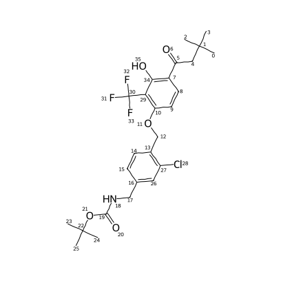 CC(C)(C)CC(=O)c1ccc(OCc2ccc(CNC(=O)OC(C)(C)C)cc2Cl)c(C(F)(F)F)c1O